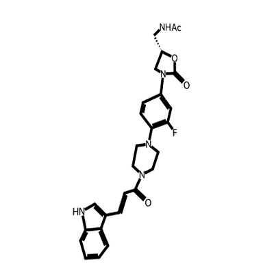 CC(=O)NC[C@H]1CN(c2ccc(N3CCN(C(=O)C=Cc4c[nH]c5ccccc45)CC3)c(F)c2)C(=O)O1